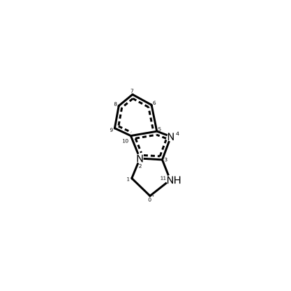 [CH]1Cn2c(nc3ccccc32)N1